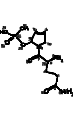 NC(=O)CC[C@H](N)C(=O)N1CC=CC1OP(=O)(O)O